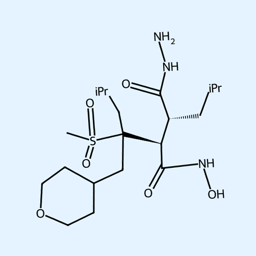 CC(C)C[C@@H](C(=O)NN)[C@@H](C(=O)NO)C(CC(C)C)(CC1CCOCC1)S(C)(=O)=O